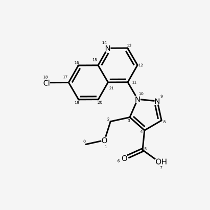 COCc1c(C(=O)O)cnn1-c1ccnc2cc(Cl)ccc12